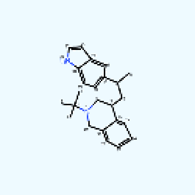 CC(CC1CN(C(C)(C)C)Cc2ccccc21)c1ccc2[nH]ccc2c1